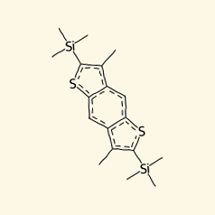 Cc1c([Si](C)(C)C)sc2cc3c(C)c([Si](C)(C)C)sc3cc12